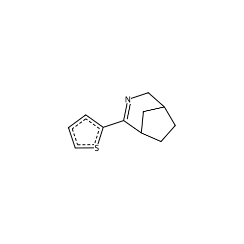 c1csc(C2=NCC3CCC2C3)c1